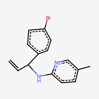 C=CC(Nc1ccc(C)cn1)c1ccc(Br)cc1